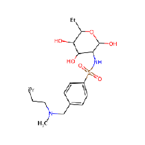 CCC1OC(O)C(NS(=O)(=O)c2ccc(CN(C)CCC(C)C)cc2)C(O)C1O